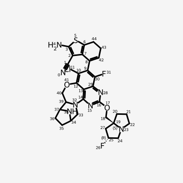 N#Cc1c(N)sc2c1C(c1c(Cl)c3c4c(nc(OC[C@@]56CCCN5C[C@H](F)C6)nc4c1F)N1CC4CCC(N4)C1CO3)=CCC2